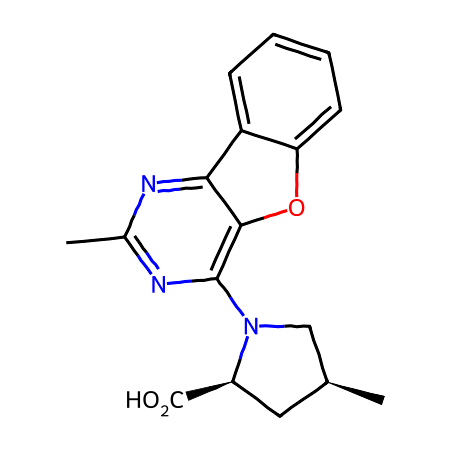 Cc1nc(N2C[C@@H](C)C[C@H]2C(=O)O)c2oc3ccccc3c2n1